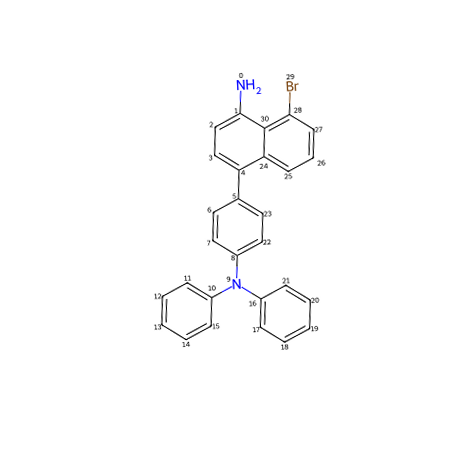 Nc1ccc(-c2ccc(N(c3ccccc3)c3ccccc3)cc2)c2cccc(Br)c12